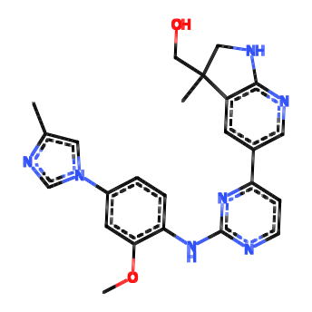 COc1cc(-n2cnc(C)c2)ccc1Nc1nccc(-c2cnc3c(c2)C(C)(CO)CN3)n1